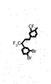 Cc1ccc(/C=C/C(c2ccc(Br)c(Br)c2)C(F)(F)F)cc1C(F)(F)F